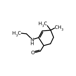 CCNC1=CC(C)(C)CCC1C=O